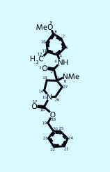 CNC1(C(=O)Nc2ccc(OC)cc2C)CCN(C(=O)OCc2ccccc2)CC1